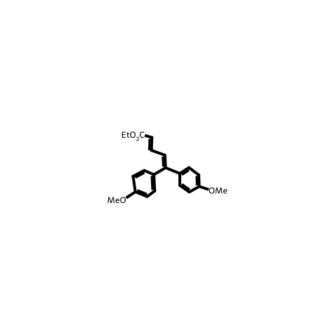 CCOC(=O)/C=C/C=C(c1ccc(OC)cc1)c1ccc(OC)cc1